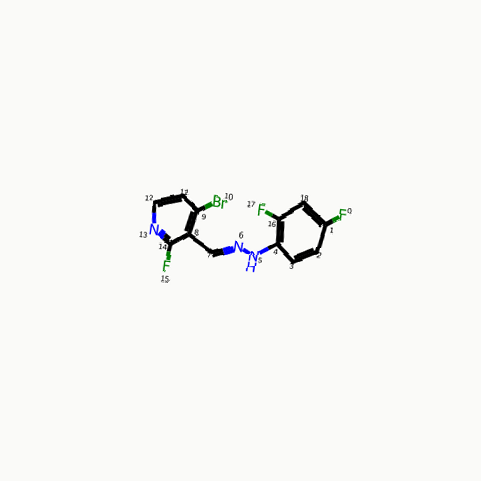 Fc1ccc(NN=Cc2c(Br)ccnc2F)c(F)c1